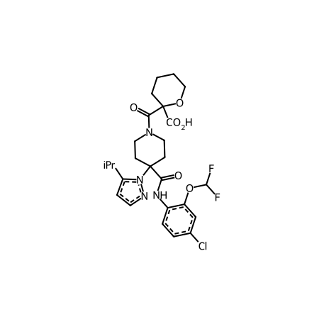 CC(C)c1ccnn1C1(C(=O)Nc2ccc(Cl)cc2OC(F)F)CCN(C(=O)C2(C(=O)O)CCCCO2)CC1